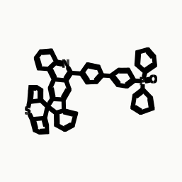 O=P(c1ccccc1)(c1ccccc1)c1ccc(-c2ccc(-c3nc4ccccc4c4cc5c(cc34)-c3ccccc3C53c4ccccc4Sc4ccccc43)cc2)cc1